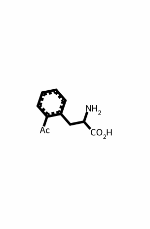 CC(=O)c1ccccc1CC(N)C(=O)O